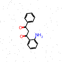 Nc1ccccc1C(=O)CC(=O)c1ccccc1